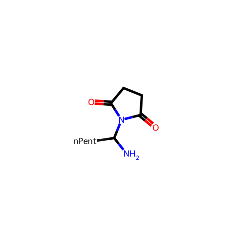 CCCCCC(N)N1C(=O)CCC1=O